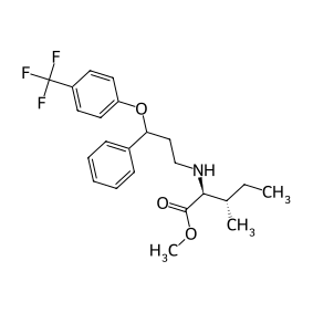 CC[C@H](C)[C@H](NCCC(Oc1ccc(C(F)(F)F)cc1)c1ccccc1)C(=O)OC